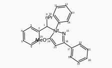 CCCC(c1ccccc1)[N+]1(c2ccccc2)N=C(c2ccccc2)C=C1OC